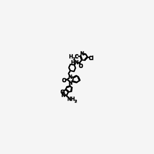 Cc1ncc(Cl)cc1C(=O)NC1CCC(Cn2c(=O)n(-c3ccc4c(N)noc4c3)c3ccccc32)CC1